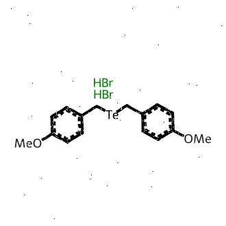 Br.Br.COc1ccc(C[Te]Cc2ccc(OC)cc2)cc1